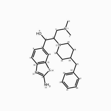 CN(C)CC(C(O)c1ccc2nc(N)sc2c1)N1CCC(Cc2ccccc2)CC1